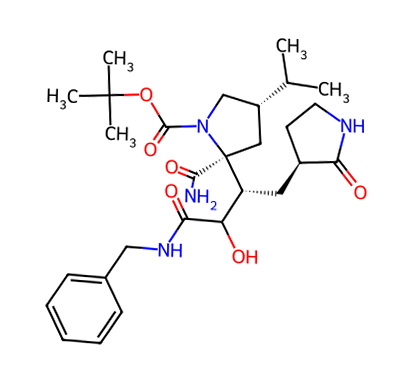 CC(C)[C@H]1CN(C(=O)OC(C)(C)C)[C@](C(N)=O)([C@H](C[C@H]2CCNC2=O)C(O)C(=O)NCc2ccccc2)C1